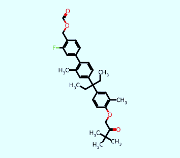 CCC(CC)(c1ccc(OCC(=O)C(C)(C)C)c(C)c1)c1ccc(-c2ccc(COC=O)c(F)c2)c(C)c1